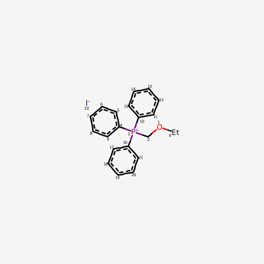 CCOC[P+](c1ccccc1)(c1ccccc1)c1ccccc1.[I-]